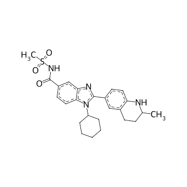 CC1CCc2cc(-c3nc4cc(C(=O)NS(C)(=O)=O)ccc4n3C3CCCCC3)ccc2N1